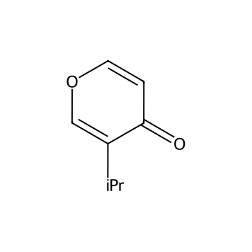 CC(C)c1coccc1=O